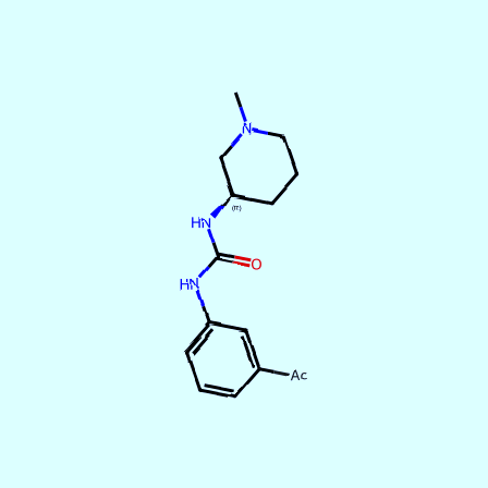 CC(=O)c1cccc(NC(=O)N[C@@H]2CCCN(C)C2)c1